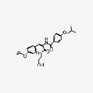 CC(C)COc1ccc(C(=O)NC(=Cc2ccc(OC3CC3)cc2)C(=O)NCCO)cc1